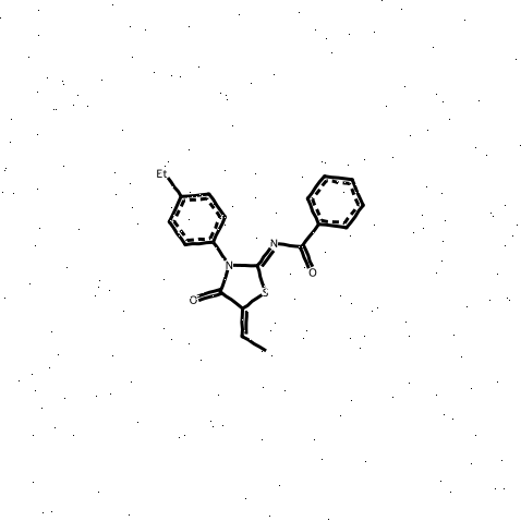 C/C=C1\S/C(=N\C(=O)c2ccccc2)N(c2ccc(CC)cc2)C1=O